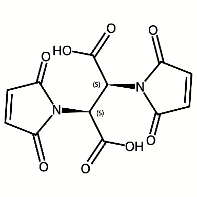 O=C(O)[C@H]([C@@H](C(=O)O)N1C(=O)C=CC1=O)N1C(=O)C=CC1=O